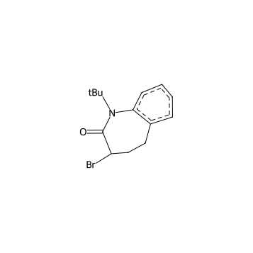 CC(C)(C)N1C(=O)C(Br)CCc2ccccc21